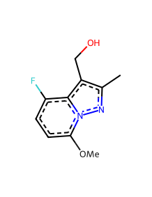 COc1ccc(F)c2c(CO)c(C)nn12